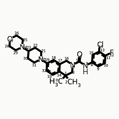 CC1(C)CN(C(=O)Nc2ccc(F)c(Cl)c2)Cc2cc(N3CCC(N4CCOCC4)CC3)ccc21